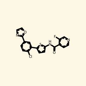 O=C(Nc1ccc(-c2cc(-c3ncco3)ccc2Cl)s1)c1ccncc1F